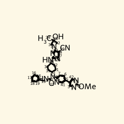 COc1ncc(-c2ccc(N(C(=O)NCc3ccccc3)[C@H]3CC[C@H](Nc4ncc(C#N)c(N5CC(C)(O)C5)n4)CC3)nc2)cn1